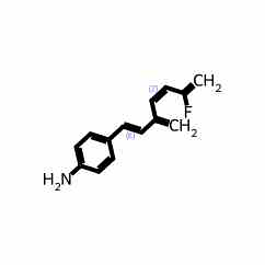 C=C(F)/C=C\C(=C)/C=C/c1ccc(N)cc1